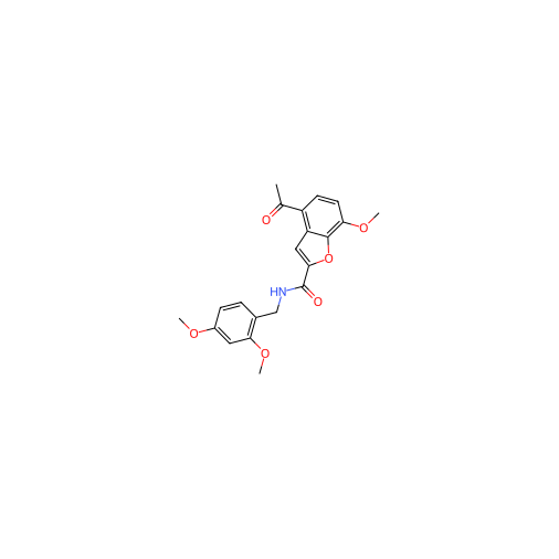 COc1ccc(CNC(=O)c2cc3c(C(C)=O)ccc(OC)c3o2)c(OC)c1